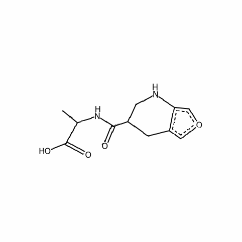 CC(NC(=O)C1CNc2cocc2C1)C(=O)O